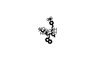 CSCCC(NC(=O)CN(Cc1cccc2ccccc12)CC(CC(C)C)NC(=O)NCCc1ccc([N+](=O)[O-])cc1)C(=O)O